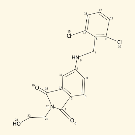 O=C1c2ccc(NCc3c(Cl)cccc3Cl)cc2C(=O)N1CCO